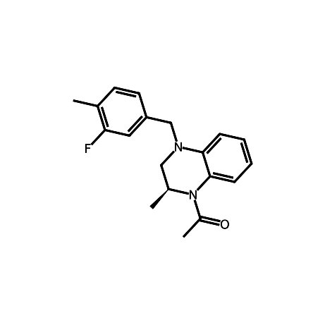 CC(=O)N1c2ccccc2N(Cc2ccc(C)c(F)c2)C[C@@H]1C